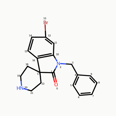 O=C1N(Cc2ccccc2)c2cc(Br)ccc2C12CCNCC2